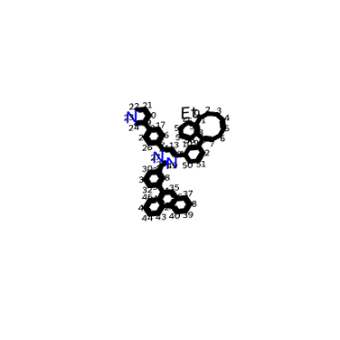 CCC1CC/C=C\C/C=C(/C2=CC(c3cc(-c4ccc(-c5cccnc5)cc4)nc(-c4cccc(-c5cc6ccccc6c6ccccc56)c4)n3)CC=C2)C2=C1CCC=C2